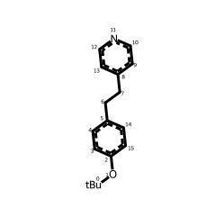 CC(C)(C)Oc1ccc(CCc2ccncc2)cc1